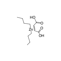 CCC[CH2][Zn][CH2]CCC.O=C(O)/C=C\C(=O)O